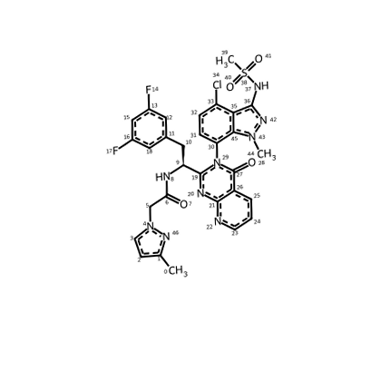 Cc1ccn(CC(=O)N[C@@H](Cc2cc(F)cc(F)c2)c2nc3ncccc3c(=O)n2-c2ccc(Cl)c3c(NS(C)(=O)=O)nn(C)c23)n1